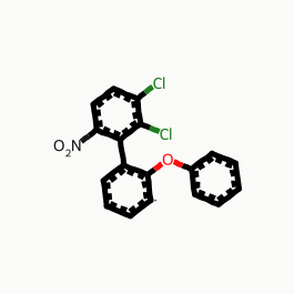 O=[N+]([O-])c1ccc(Cl)c(Cl)c1-c1ccc[c]c1Oc1ccccc1